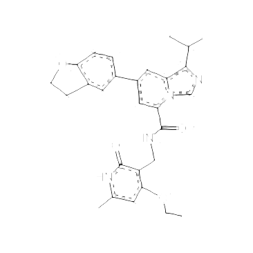 CCOc1cc(C)[nH]c(=O)c1CNC(=O)c1cc(-c2ccc3c(c2)CCO3)cc2c(C(C)C)ncn12